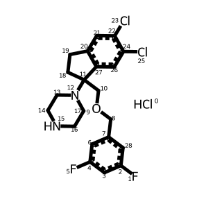 Cl.Fc1cc(F)cc(COCC2(N3CCNCC3)CCc3cc(Cl)c(Cl)cc32)c1